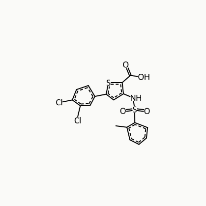 Cc1ccccc1S(=O)(=O)Nc1cc(-c2ccc(Cl)c(Cl)c2)sc1C(=O)O